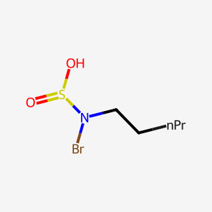 CCCCCN(Br)S(=O)O